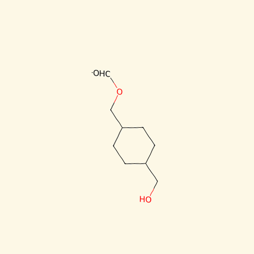 O=[C]OCC1CCC(CO)CC1